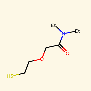 CCN(CC)C(=O)COCCS